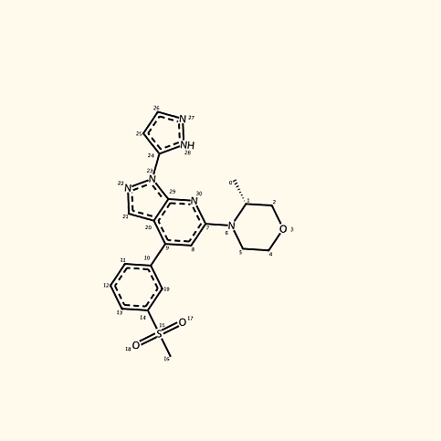 C[C@@H]1COCCN1c1cc(-c2cccc(S(C)(=O)=O)c2)c2cnn(-c3ccn[nH]3)c2n1